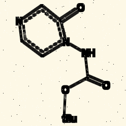 CC(C)(C)OC(=O)Nn1ccncc1=O